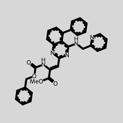 COC(=O)C(=Cc1nc(NCc2ccccn2)c2c(-c3ccccc3)cccc2n1)NC(=O)OCc1ccccc1